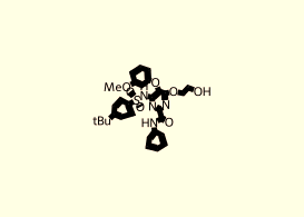 COc1cccc(Oc2c(NS(=O)(=O)c3ccc(C(C)(C)C)cc3)nc(C(=O)Nc3ccccc3)nc2OCCO)c1